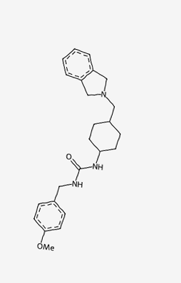 COc1ccc(CNC(=O)NC2CCC(CN3Cc4ccccc4C3)CC2)cc1